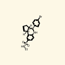 CCNS(=O)(=O)c1ccc2c(c1)[C@@H]1C=CC[C@@H]1[C@@H](c1ccc(Br)cc1)N2